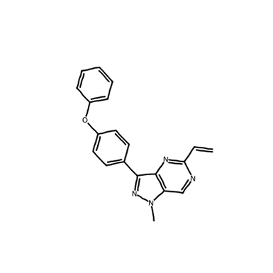 C=Cc1ncc2c(n1)c(-c1ccc(Oc3ccccc3)cc1)nn2C